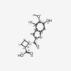 COc1c(O)cc2sc(C(=O)[C@H]3CC[C@@H]3C(=O)O)cc2c1F